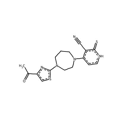 CC(=O)c1csc(N2CCCN(c3cc[nH]c(=S)c3C#N)CC2)n1